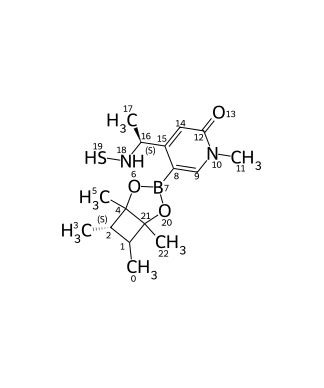 CC1[C@H](C)C2(C)OB(c3cn(C)c(=O)cc3[C@H](C)NS)OC12C